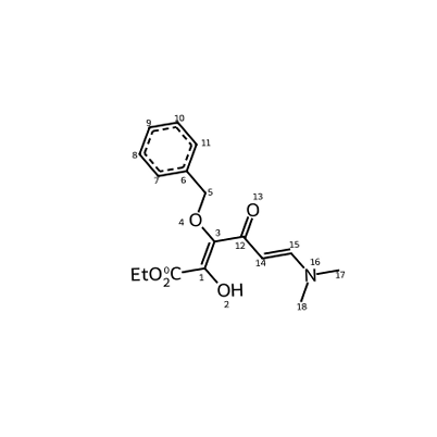 CCOC(=O)/C(O)=C(\OCc1ccccc1)C(=O)/C=C/N(C)C